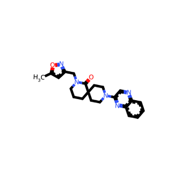 Cc1cc(CN2CCCC3(CCN(c4cnc5ccccc5n4)CC3)C2=O)no1